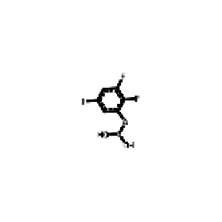 OB(O)Oc1cc(F)cc(F)c1F